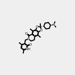 Cc1cc(C)c(CN2CCc3c(C)c4c(c(C)c3C2=O)OC(C)([C@H]2CC[C@H](N(C)C)CC2)O4)c(=O)[nH]1